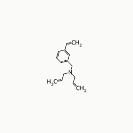 C=CCN(CC=C)Cc1cccc(C=C)c1